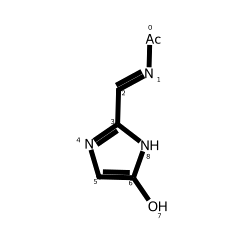 CC(=O)N=Cc1ncc(O)[nH]1